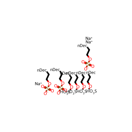 CCCCCCCCCCCCOS(=O)(=O)O.CCCCCCCCCCCCOS(=O)(=O)O.CCCCCCCCCCCCOS(=O)(=O)O.CCCCCCCCCCCCOS(=O)(=O)O.CCCCCCCCCCCCOS(=O)(=O)[O-].CCCCCCCCCCCCOS(=O)(=O)[O-].CCCCCCCCCCCCOS(=O)(=O)[O-].[Na+].[Na+].[Na+]